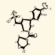 CC(C)S(=O)(=O)CC1CC(c2ccc(C(F)(F)F)cc2)CN(C(=O)N2CCOCC2)C1